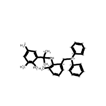 Cc1cc(C)c(O)c(C(C)(C)Pc2c(C)cccc2CP(c2ccccc2)c2ccccc2)c1